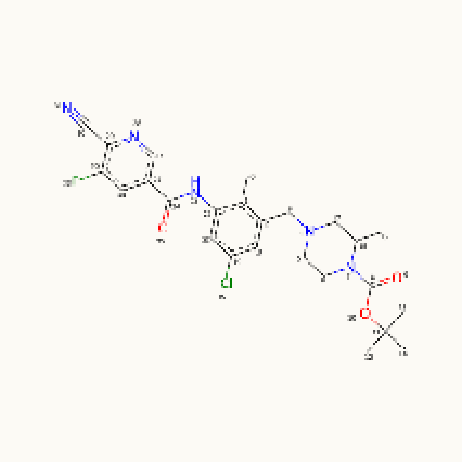 Cc1c(CN2CCN(C(=O)OC(C)(C)C)C(C)C2)cc(Cl)cc1NC(=O)c1cnc(C#N)c(F)c1